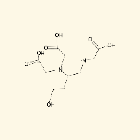 O=C(O)C[N]CC(CCO)N(CC(=O)O)CC(=O)O